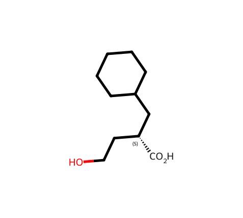 O=C(O)[C@H](CCO)CC1CCCCC1